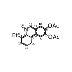 CCC1=C2C(=c3cc(OC(C)=O)c(OC(C)=O)cc3=CN2C)CC=C1